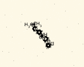 CN(C)C1CCN(c2ccc(NC(=O)N3CCC(Oc4ccccc4Cl)CC3)cc2)C1